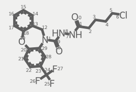 O=C(CCCCCl)NNC(=O)N1Cc2ccccc2Oc2ccc(C(F)(F)F)cc21